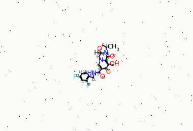 C[C@H]1CO[C@H]2Cn3cc(C(=O)NCc4ccc(F)cc4F)c(=O)c(O)c3C(=O)N21